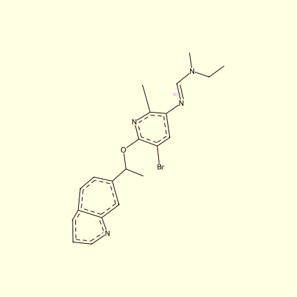 CCN(C)/C=N/c1cc(Br)c(OC(C)c2ccc3cccnc3c2)nc1C